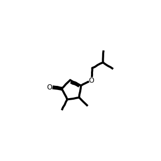 CC(C)COC1=CC(=O)C(C)C1C